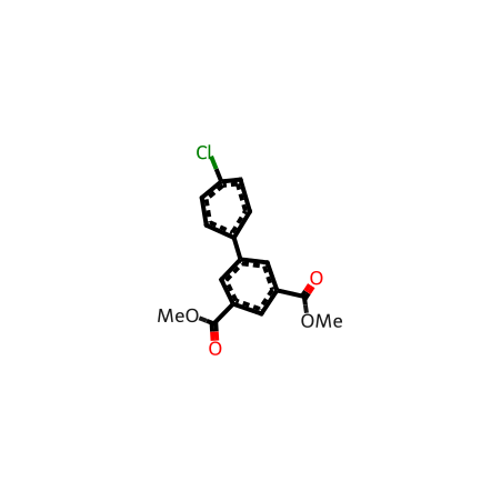 COC(=O)c1cc(C(=O)OC)cc(-c2ccc(Cl)cc2)c1